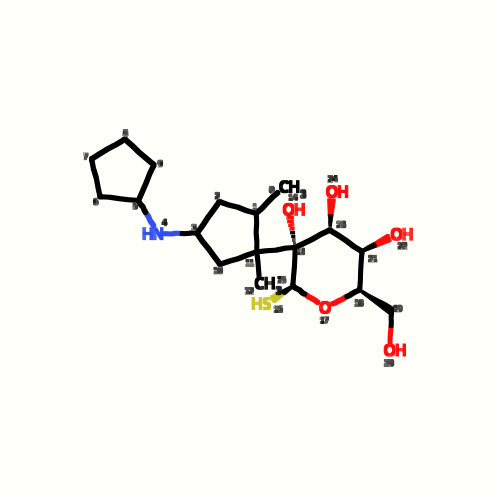 CC1CC(NC2CCCC2)CC1(C)[C@]1(O)[C@H](S)O[C@H](CO)[C@H](O)[C@@H]1O